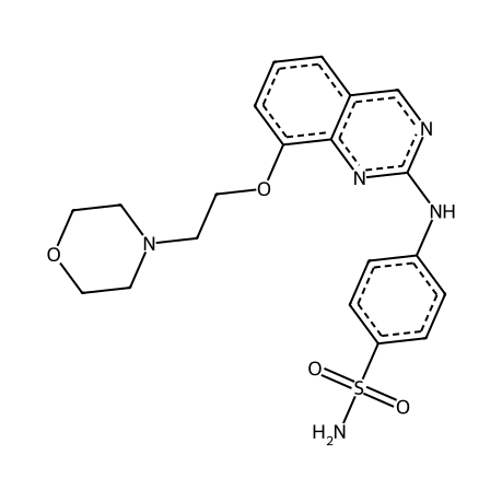 NS(=O)(=O)c1ccc(Nc2ncc3cccc(OCCN4CCOCC4)c3n2)cc1